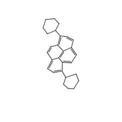 c1cc2ccc3c(C4CCCCC4)ccc4ccc(c1C1CCCCC1)c2c43